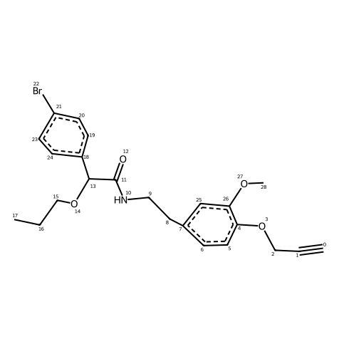 C#CCOc1ccc(CCNC(=O)C(OCCC)c2ccc(Br)cc2)cc1OC